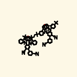 CC(C)(C)c1ccc2c(c1)c1ccccc1n2-c1cc(C#N)c(-c2cccc(C#N)c2)cc1-n1c2ccccc2c2cc(C(C)(C)CCC(C)(C)c3ccc4c5ccccc5n(-c5cc(C#N)c(-c6cccc(C#N)c6)cc5-n5c6ccccc6c6ccc(C(C)(C)C)cc65)c4c3)ccc21